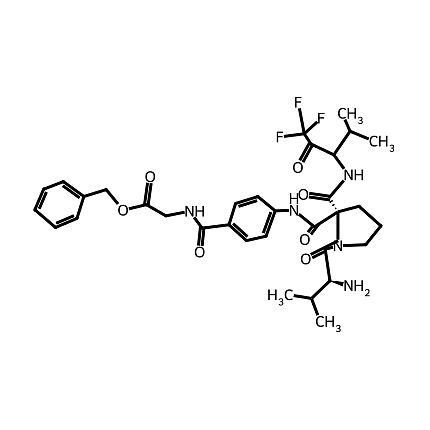 CC(C)C(NC(=O)[C@]1(C(=O)Nc2ccc(C(=O)NCC(=O)OCc3ccccc3)cc2)CCCN1C(=O)[C@@H](N)C(C)C)C(=O)C(F)(F)F